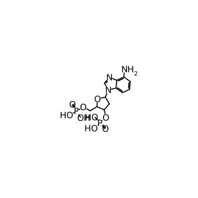 Nc1cccc2c1ncn2C1CC(OP(=O)(O)O)C(COP(=O)(O)O)O1